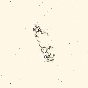 Cn1nnnc1SCCCCc1ccc(OP(=O)(O)C(F)F)c(Br)c1